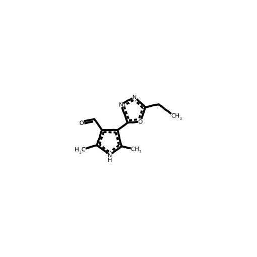 CCc1nnc(-c2c(C)[nH]c(C)c2C=O)o1